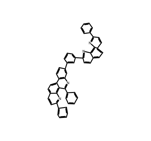 c1ccc(-c2ccc3ccc4ccc(-c5cccc(-c6ccc7c(c6)nc(-c6ccccc6)c6c7ccc7ccc(-c8ccccc8)nc76)c5)nc4c3n2)cc1